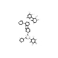 Bc1cc(B)c2c(c1B)c1c(B)c(B)cc(B)c1n2-c1cc(-c2ccccc2)c2oc3cc(-c4nc(-c5ccccc5)nc(-c5c(B)c(B)c(B)c(B)c5B)n4)ccc3c2c1